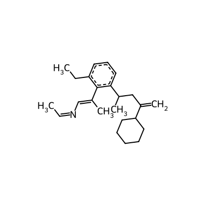 C=C(CC(C)c1cccc(CC)c1/C(C)=C/N=C\C)C1CCCCC1